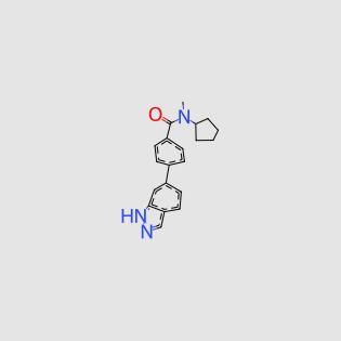 CN(C(=O)c1ccc(-c2ccc3cn[nH]c3c2)cc1)C1CCCC1